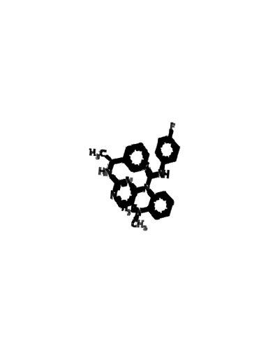 C[C@H](Nc1nccc(N(C(=O)Nc2ccc(F)cc2)c2ccccc2N(C)C)n1)c1ccccc1